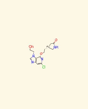 O=C1C[C@@H](CCOc2nc(Cl)cc3ncn(CCO)c23)CN1